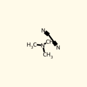 CN(C)C.N#CC#N